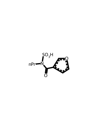 CCCN(C(=O)c1ccoc1)S(=O)(=O)O